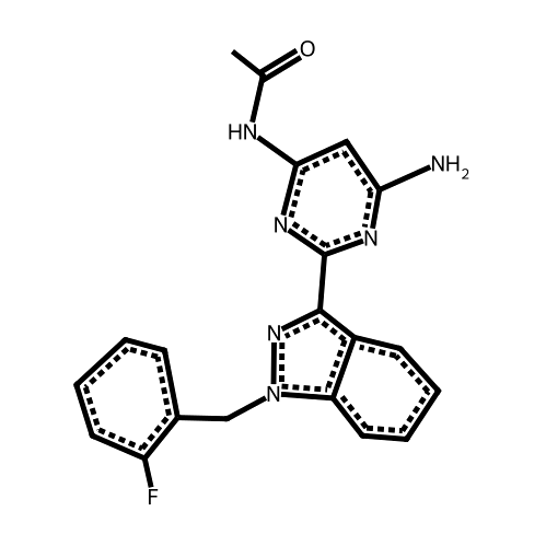 CC(=O)Nc1cc(N)nc(-c2nn(Cc3ccccc3F)c3ccccc23)n1